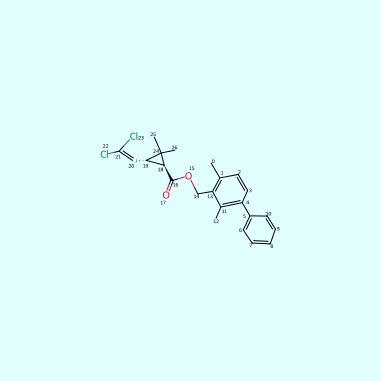 Cc1ccc(-c2ccccc2)c(C)c1COC(=O)[C@H]1[C@H](C=C(Cl)Cl)C1(C)C